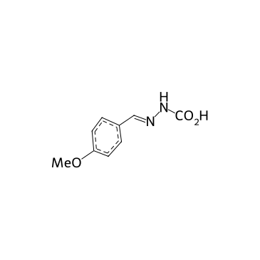 COc1ccc(C=NNC(=O)O)cc1